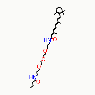 CCCC(=O)NCCCOCCOCCOCCCNC(=O)/C=C(C)/C=C/C=C(C)/C=C/C1=C(C)CCCC1(C)C